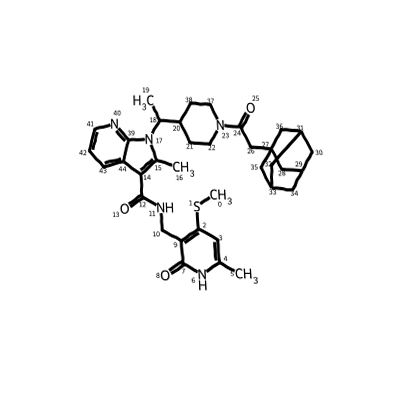 CSc1cc(C)[nH]c(=O)c1CNC(=O)c1c(C)n(C(C)C2CCN(C(=O)CC34CC5CC(CC(C5)C3)C4)CC2)c2ncccc12